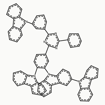 c1ccc(-c2nc(-c3cccc(-n4c5ccccc5c5ccccc54)c3)nc(-c3ccc(-n4c5ccccc5c5ccccc54)c(-n4c5ccccc5c5cc(-n6c7ccccc7c7ccccc76)ccc54)c3)n2)cc1